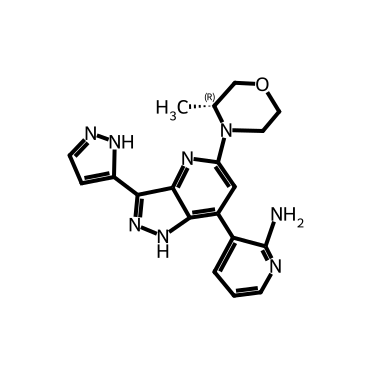 C[C@@H]1COCCN1c1cc(-c2cccnc2N)c2[nH]nc(-c3ccn[nH]3)c2n1